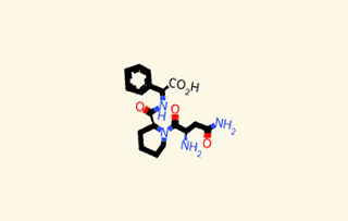 NC(=O)C[C@@H](N)C(=O)N1CCCC[C@H]1C(=O)N[C@H](C(=O)O)c1ccccc1